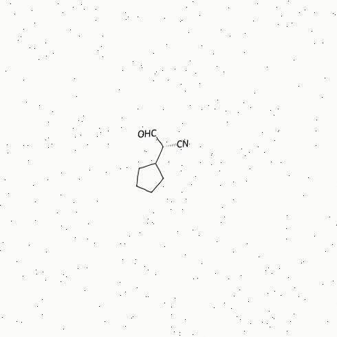 N#C[C@@H](C=O)C1CCCC1